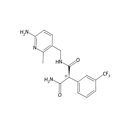 Cc1nc(N)ccc1CNC(=O)[C@H](C(N)=O)c1cccc(C(F)(F)F)c1